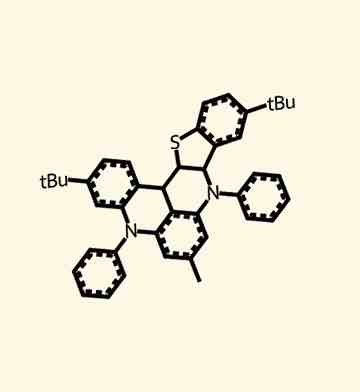 Cc1cc2c3c(c1)N(c1ccccc1)C1c4cc(C(C)(C)C)ccc4SC1C3c1ccc(C(C)(C)C)cc1N2c1ccccc1